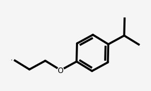 [CH2]CCOc1ccc(C(C)C)cc1